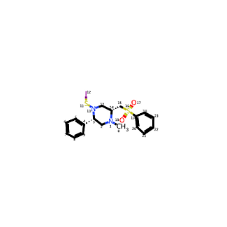 CN1C[C@H](c2ccccc2)N(SI)C[C@@H]1CS(=O)(=O)c1ccccc1